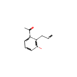 C=CCc1c(O)cccc1C(C)=O